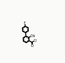 N#Cc1c(C(=O)Cl)cccc1-c1ccc(F)cc1